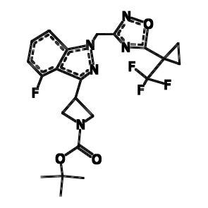 CC(C)(C)OC(=O)N1CC(c2nn(Cc3noc(C4(C(F)(F)F)CC4)n3)c3cccc(F)c23)C1